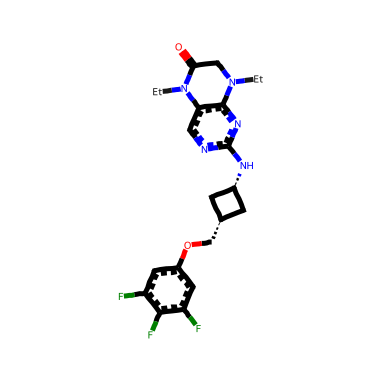 CCN1CC(=O)N(CC)c2cnc(N[C@H]3C[C@@H](COc4cc(F)c(F)c(F)c4)C3)nc21